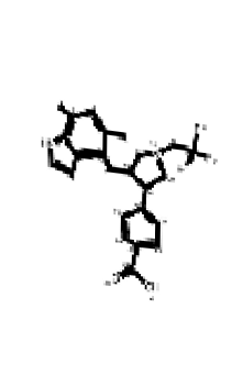 Cc1cc(C)c2[nH]ccc2c1CC1CN(CC(F)(F)F)CC1c1ccc(C(=O)O)cc1